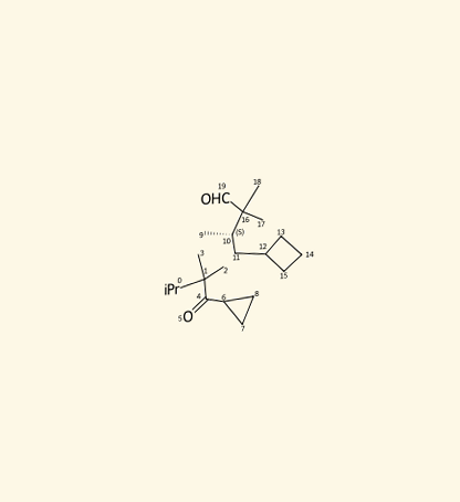 CC(C)C(C)(C)C(=O)C1CC1.C[C@@H](CC1CCC1)C(C)(C)C=O